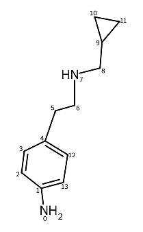 Nc1ccc(CCNCC2CC2)cc1